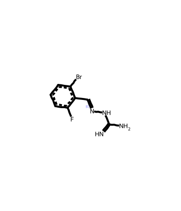 N=C(N)N/N=C/c1c(F)cccc1Br